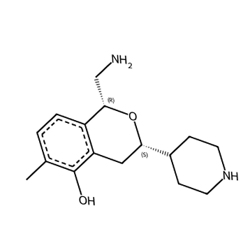 Cc1ccc2c(c1O)C[C@@H](C1CCNCC1)O[C@H]2CN